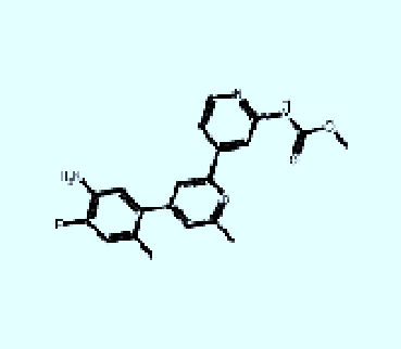 COC(=O)Nc1cc(-c2cc(-c3cc(N)c(F)cc3C)cc(C)n2)ccn1